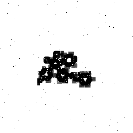 Cn1c(=O)c(-c2ccc(F)cc2)c(-c2ccnc(NCc3ccccc3)n2)n1N1CCOCC1